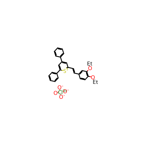 CCOc1ccc(C=Cc2cc(-c3ccccc3)cc(-c3ccccc3)[s+]2)cc1OCC.[O-][Cl+3]([O-])([O-])[O-]